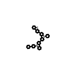 C1=CCC(n2c3ccc(-c4ccc5c(c4)sc4ccccc45)cc3c3cc(-c4ccc5c(c4)c4ccccc4n5-c4ccc(-c5ccccc5)cc4)ccc32)C=C1